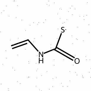 C=CNC(=O)[S]